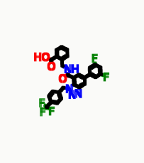 O=C(O)c1ccccc1CNC(=O)c1cc(-c2cc(F)cc(F)c2)cc2nnn(Cc3ccc(C(F)(F)F)cc3)c12